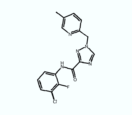 Cc1ccc(Cn2cnc(C(=O)Nc3cccc(Cl)c3F)n2)nc1